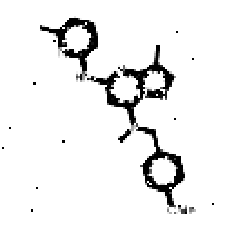 COc1ccc(CN(C)c2cc(Nc3cccc(C)n3)nc3c(C)cnn23)cc1